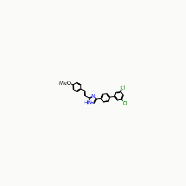 COc1ccc(/C=C/c2nc(-c3ccc(-c4cc(Cl)cc(Cl)c4)cc3)c[nH]2)cc1